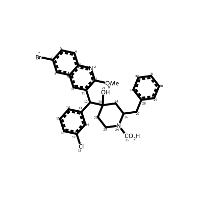 COc1nc2ccc(Br)cc2cc1C(c1cccc(Cl)c1)C1(O)CCN(C(=O)O)C(Cc2ccccc2)C1